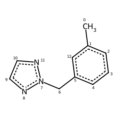 Cc1cccc(Cn2nccn2)c1